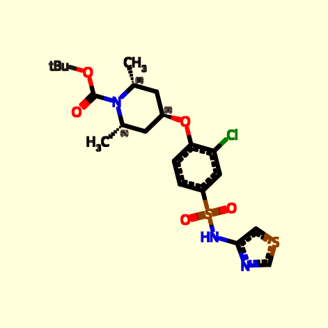 C[C@@H]1C[C@@H](Oc2ccc(S(=O)(=O)Nc3cscn3)cc2Cl)C[C@H](C)N1C(=O)OC(C)(C)C